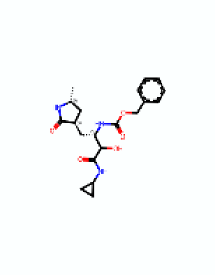 C[C@@H]1C[C@@H](C[C@H](NC(=O)OCc2ccccc2)C(O)C(=O)NC2CC2)C(=O)N1